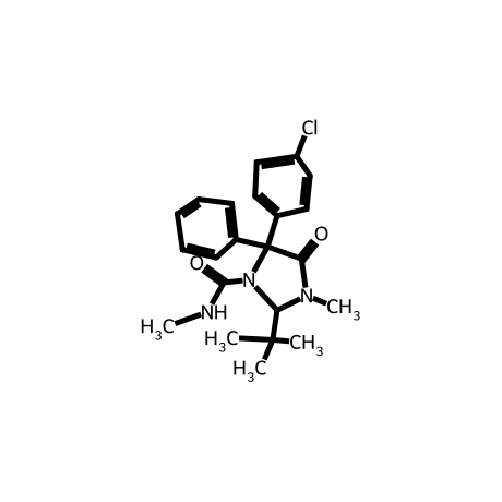 CNC(=O)N1C(C(C)(C)C)N(C)C(=O)C1(c1ccccc1)c1ccc(Cl)cc1